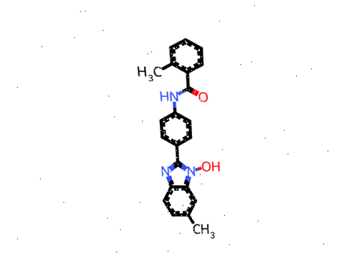 Cc1ccc2nc(-c3ccc(NC(=O)c4ccccc4C)cc3)n(O)c2c1